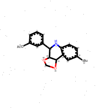 CC(=O)Oc1cccc(C2Nc3ccc(C(C)(C)C)cc3C3OCOC23)c1